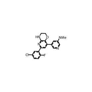 CNc1cncc(-c2cc(-c3cc(Cl)ccc3F)nc3c2OCCN3)c1